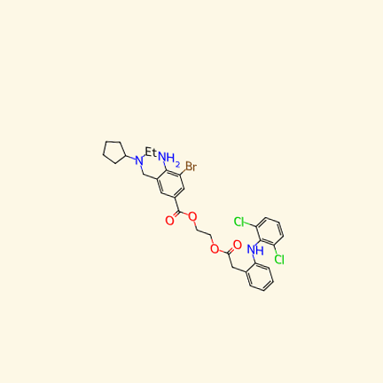 CCN(Cc1cc(C(=O)OCCOC(=O)Cc2ccccc2Nc2c(Cl)cccc2Cl)cc(Br)c1N)C1CCCC1